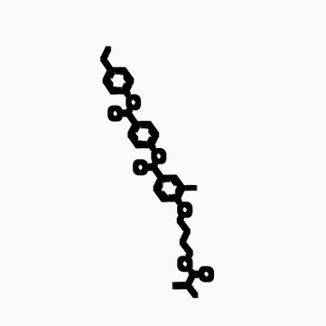 C=C(C)C(=O)OCCCCOc1ccc(C(=O)Oc2ccc(C(=O)Oc3ccc(CC)cc3)cc2)cc1C